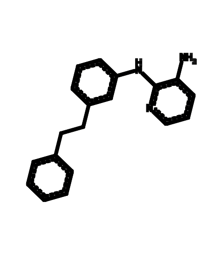 Nc1cccnc1Nc1cccc(CCc2ccccc2)c1